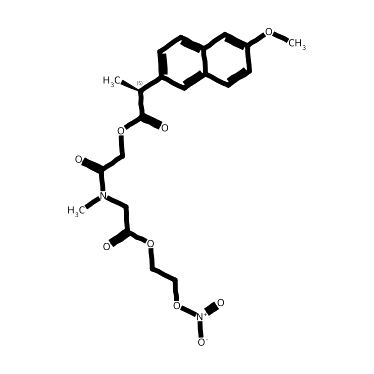 COc1ccc2cc([C@H](C)C(=O)OCC(=O)N(C)CC(=O)OCCO[N+](=O)[O-])ccc2c1